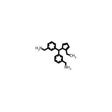 CCC1=CC=C[C]1C(c1cccc(CN)c1)c1cccc(CN)c1